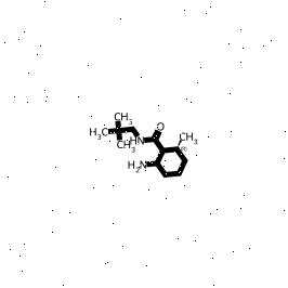 C[C@@H]1CCCC(N)C1C(=O)NCC(C)(C)C